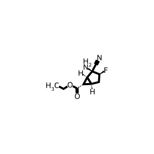 CCOC(=O)[C@H]1[C@@H]2C[C@H](F)[C@@](N)(C#N)[C@@H]21